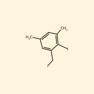 Cc1cc(C)c(I)c(CI)c1